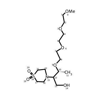 COCCOCCOCCO[C@H](C)C(CO)N1CCS(=O)(=O)CC1